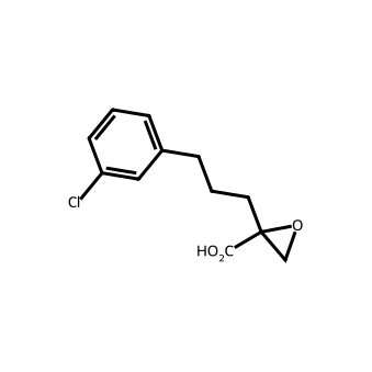 O=C(O)C1(CCCc2cccc(Cl)c2)CO1